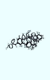 CCOC(=O)Cc1ccc(OC)c(-c2ccc(C(F)(F)F)cc2CN(CC)/C(=N/C#N)Oc2ccccc2)c1